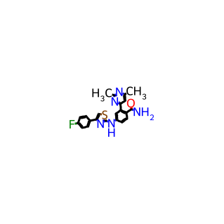 Cc1cc(-c2cc(Nc3nc(-c4ccc(F)cc4)cs3)ccc2C(N)=O)nc(C)n1